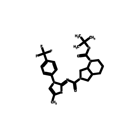 Cc1cn(-c2ccc(C(F)(F)F)cc2)/c(=N/C(=O)N2CC3CCCN(C(=O)OC(C)(C)C)C3C2)s1